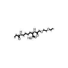 CCOCCOCC(=O)NC(CCCCNC(=O)CC)C(=O)O